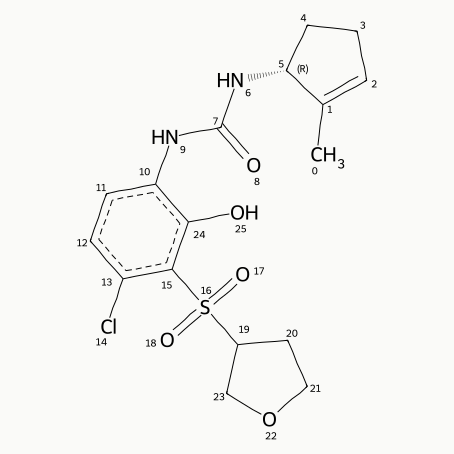 CC1=CCC[C@H]1NC(=O)Nc1ccc(Cl)c(S(=O)(=O)C2CCOC2)c1O